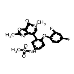 Cc1nc2c(-c3cc(NS(C)(=O)=O)ccc3Oc3ccc(F)cc3F)cn(C)c(=O)c2o1